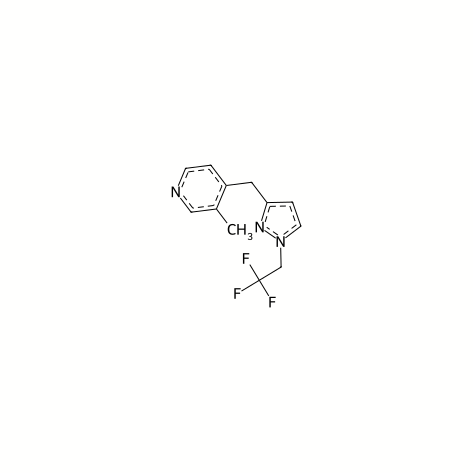 Cc1cnccc1Cc1ccn(CC(F)(F)F)n1